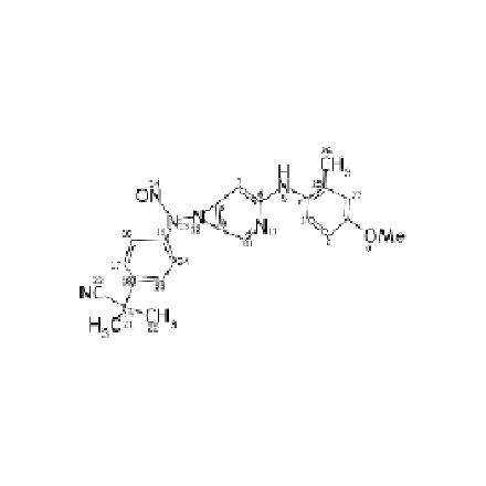 COc1ccc(Nc2cc3c(cn2)N3N(N=O)c2ccc(C(C)(C)C#N)cc2)c(C)c1